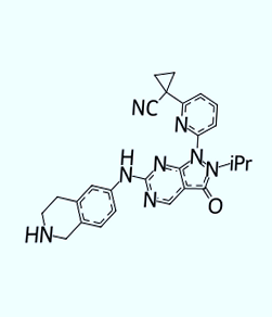 CC(C)n1c(=O)c2cnc(Nc3ccc4c(c3)CCNC4)nc2n1-c1cccc(C2(C#N)CC2)n1